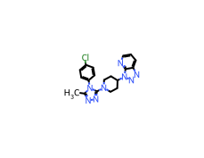 Cc1nnc(N2CCC(n3nnc4cccnc43)CC2)n1-c1ccc(Cl)cc1